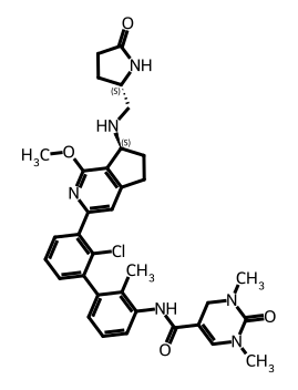 COc1nc(-c2cccc(-c3cccc(NC(=O)C4=CN(C)C(=O)N(C)C4)c3C)c2Cl)cc2c1[C@@H](NC[C@@H]1CCC(=O)N1)CC2